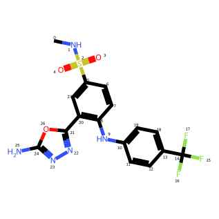 CNS(=O)(=O)c1ccc(Nc2ccc(C(F)(F)F)cc2)c(-c2nnc(N)o2)c1